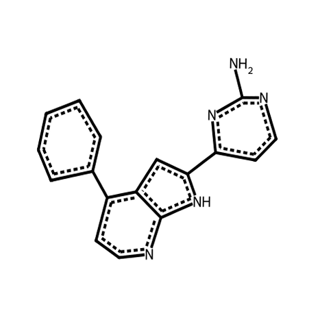 Nc1nccc(-c2cc3c(-c4ccccc4)ccnc3[nH]2)n1